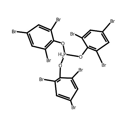 Brc1cc(Br)c(O[PH2](Oc2c(Br)cc(Br)cc2Br)Oc2c(Br)cc(Br)cc2Br)c(Br)c1